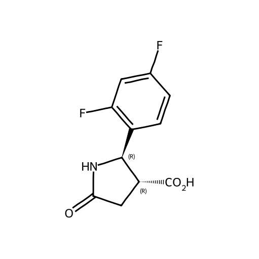 O=C1C[C@@H](C(=O)O)[C@H](c2ccc(F)cc2F)N1